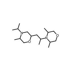 CC(C)N1CC(CC(C)N2C(C)COCC2C)OCC1C